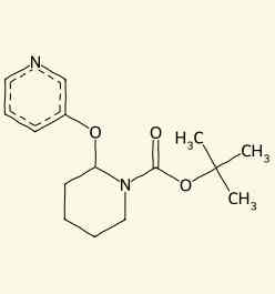 CC(C)(C)OC(=O)N1CCCCC1Oc1cccnc1